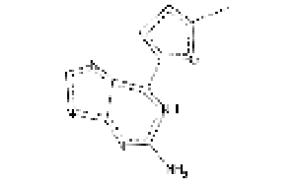 Cc1ccc(-c2[nH]c(N)nc3ncnc2-3)o1